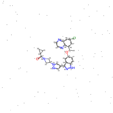 CC(Oc1ccc2[nH]nc(-c3cnn(C4CN(C(=O)C5CC5)C4)c3)c2c1)c1cc(Cl)cc2nccnc12